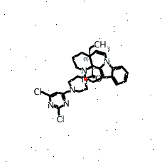 CC[C@]12C=Cn3c4c(c5ccccc53)CCN(CCC1)[C@@]42C(=O)N1CCN(c2cc(Cl)nc(Cl)n2)CC1